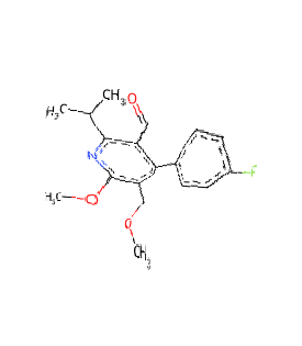 COCc1c(OC)nc(C(C)C)c(C=O)c1-c1ccc(F)cc1